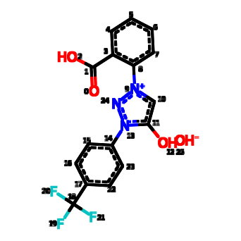 O=C(O)c1ccccc1-[n+]1cc(O)n(-c2ccc(C(F)(F)F)cc2)n1.[OH-]